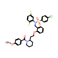 CCCCOc1ccc(C(=O)N2CCCCC2CCOc2ccccc2CN(c2cc(F)ccc2F)S(=O)(=O)c2ccc(Cl)cc2)cc1